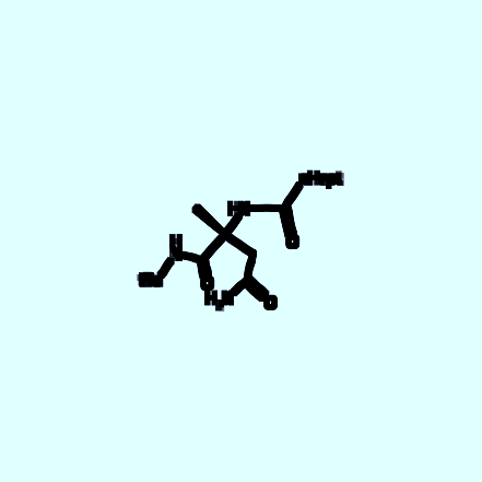 CCCCCCCC(=O)N[C@](C)(CC(N)=O)C(=O)NC(C)(C)C